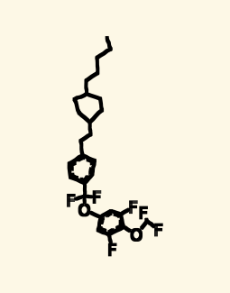 CCCCCC1CCC(CCc2ccc(C(F)(F)Oc3cc(F)c(OC(F)F)c(F)c3)cc2)CC1